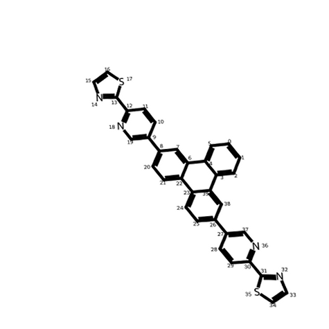 c1ccc2c(c1)c1cc(-c3ccc(-c4nccs4)nc3)ccc1c1ccc(-c3ccc(-c4nccs4)nc3)cc21